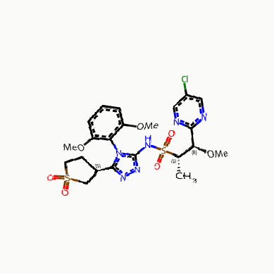 COc1cccc(OC)c1-n1c(NS(=O)(=O)[C@@H](C)[C@H](OC)c2ncc(Cl)cn2)nnc1[C@@H]1CCS(=O)(=O)C1